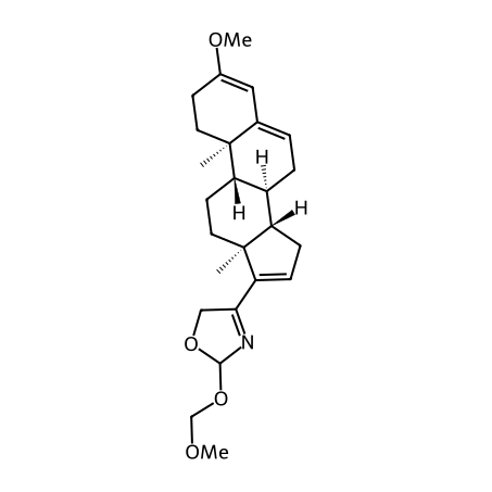 COCOC1N=C(C2=CC[C@H]3[C@@H]4CC=C5C=C(OC)CC[C@]5(C)[C@H]4CC[C@]23C)CO1